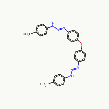 O=C(O)c1ccc(NN=Nc2ccc(Oc3ccc(N=NNc4ccc(C(=O)O)cc4)cc3)cc2)cc1